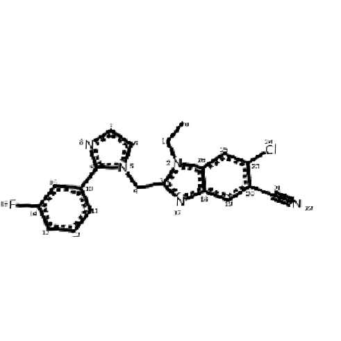 CCn1c(Cn2ccnc2-c2cccc(F)c2)nc2cc(C#N)c(Cl)cc21